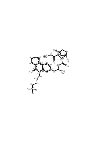 CC(C)(C)OC(=O)N1[C@@H]2CC[C@@H](C2)[C@H]1C(=O)NC(C#N)Cc1ccc2c3ccccc3c(=O)n(COCC[Si](C)(C)C)c2c1